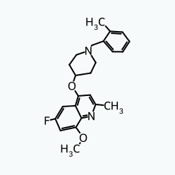 COc1cc(F)cc2c(OC3CCN(Cc4ccccc4C)CC3)cc(C)nc12